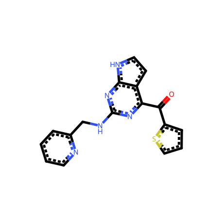 O=C(c1cccs1)c1nc(NCc2ccccn2)nc2[nH]ccc12